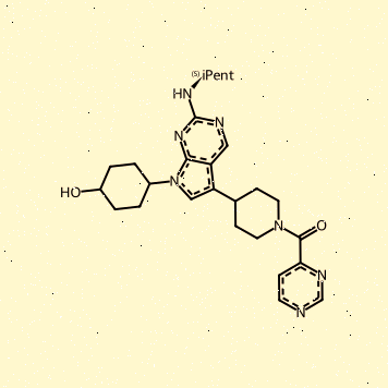 CCC[C@H](C)Nc1ncc2c(C3CCN(C(=O)c4ccncn4)CC3)cn(C3CCC(O)CC3)c2n1